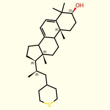 C[C@H](CC1CCSCC1)[C@H]1CCC2C3=CC=C4C(C)(C)[C@@H](O)CC[C@]4(C)C3CC[C@@]21C